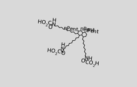 CCCCCC1CCC(CCCCCCCCCNC(=O)C(=O)O)C2C(CCCCCCCCCNC(=O)C(=O)O)C(CCCCCCCCCCCNC(=O)C(=O)O)C(CCCCC)C(CCCCC)C12